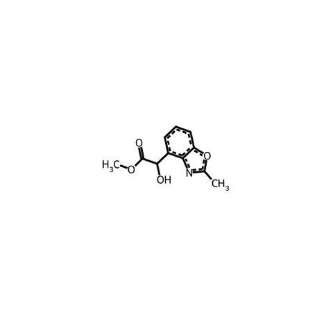 COC(=O)C(O)c1cccc2oc(C)nc12